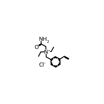 C=Cc1cccc(C[N+](CC)(CC)CC(N)=O)c1.[Cl-]